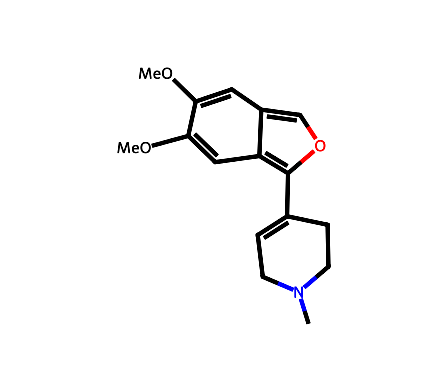 COc1cc2coc(C3=CCN(C)CC3)c2cc1OC